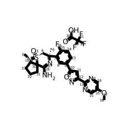 CN=[S@]1(=O)C[C@@](C)(c2cc(-c3cc(-c4ncc(OC)cn4)no3)ccc2F)N=C(N)C12CCCC2.O=C(O)C(F)(F)F